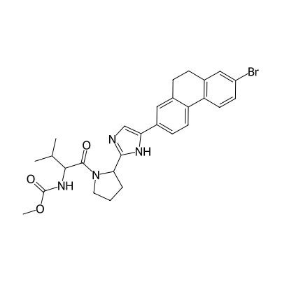 COC(=O)NC(C(=O)N1CCCC1c1ncc(-c2ccc3c(c2)CCc2cc(Br)ccc2-3)[nH]1)C(C)C